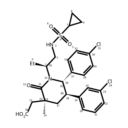 CC[C@@H](CNS(=O)(=O)C1CC1)N1C(=O)[C@](C)(CC(=O)O)C[C@H](c2cccc(Cl)c2)[C@H]1c1ccc(Cl)cc1